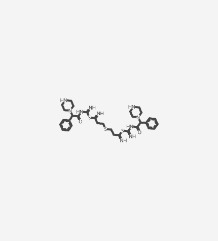 N=C(CCSCCC(=N)SC(=N)NC(=O)C(c1ccccc1)N1CCNCC1)SC(=N)NC(=O)C(c1ccccc1)N1CCNCC1